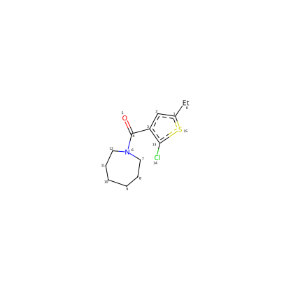 CCc1cc(C(=O)N2CCCCCC2)c(Cl)s1